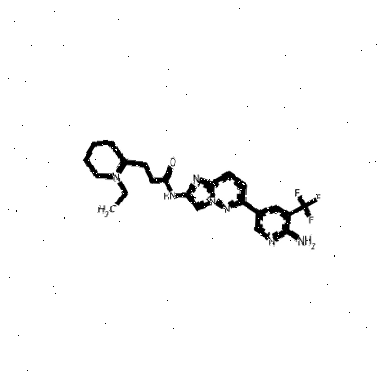 CCN1CCCCC1CCC(=O)Nc1cn2nc(-c3cnc(N)c(C(F)(F)F)c3)ccc2n1